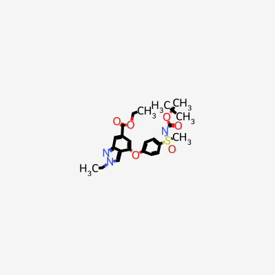 CCOC(=O)c1cc(Oc2ccc(S(C)(=O)=NC(=O)OC(C)(C)C)cc2)c2cn(CC)nc2c1